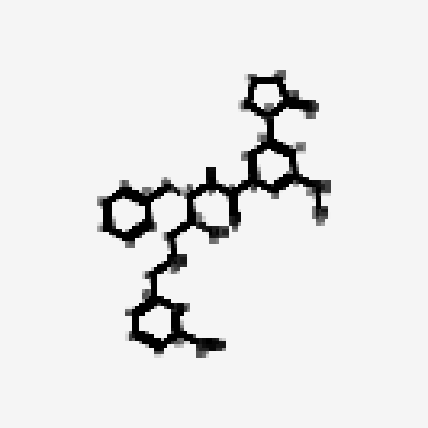 CCNc1cc(C(=O)N[C@@H](Cc2ccccc2)[C@H](O)CNCc2cccc(OC)n2)cc(N2CCCC2=O)c1